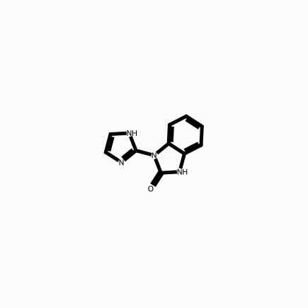 O=c1[nH]c2ccccc2n1-c1ncc[nH]1